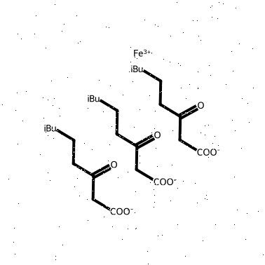 CCC(C)CCC(=O)CC(=O)[O-].CCC(C)CCC(=O)CC(=O)[O-].CCC(C)CCC(=O)CC(=O)[O-].[Fe+3]